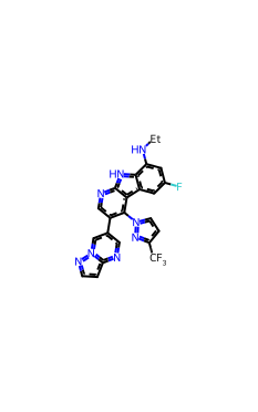 CCNc1cc(F)cc2c1[nH]c1ncc(-c3cnc4ccnn4c3)c(-n3ccc(C(F)(F)F)n3)c12